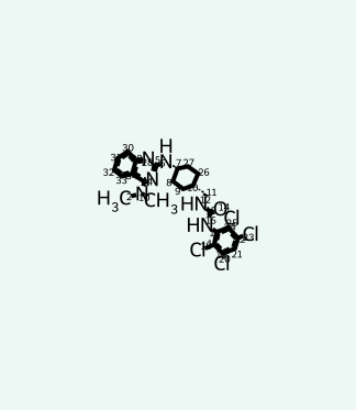 CN(C)c1nc(N[C@H]2CC[C@@H](CNC(=O)Nc3c(Cl)c(Cl)cc(Cl)c3Cl)CC2)nc2ccccc12